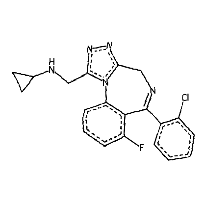 Fc1cccc2c1C(c1ccccc1Cl)=NCc1nnc(CNC3CC3)n1-2